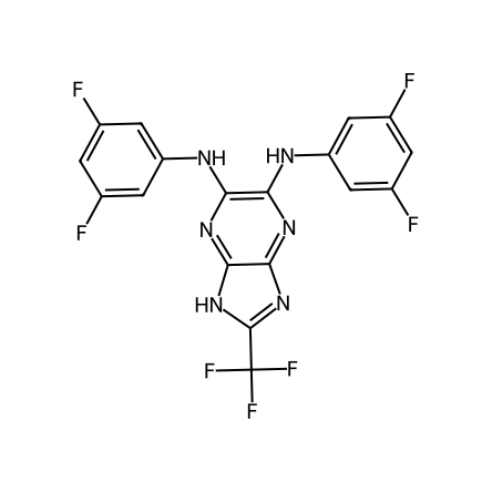 Fc1cc(F)cc(Nc2nc3nc(C(F)(F)F)[nH]c3nc2Nc2cc(F)cc(F)c2)c1